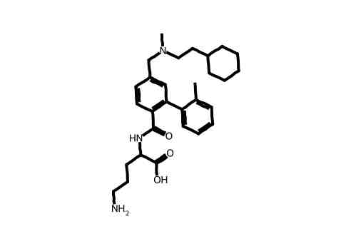 Cc1ccccc1-c1cc(CN(C)CCC2CCCCC2)ccc1C(=O)NC(CCCN)C(=O)O